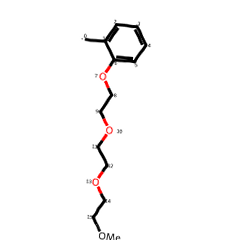 [CH2]c1ccccc1OCCOCCOCCOC